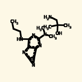 CC(C)(O)CN.CCCNc1nc(N(C)C)nc2c3nc-3nc12